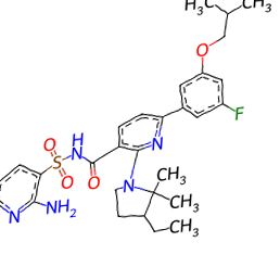 CCC1CCN(c2nc(-c3cc(F)cc(OCC(C)C)c3)ccc2C(=O)NS(=O)(=O)c2cccnc2N)C1(C)C